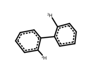 [2H]c1ccccc1-c1ccccc1[2H]